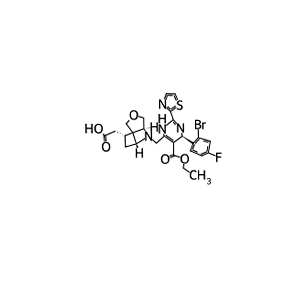 CCOC(=O)C1=C(CN2[C@@H]3COCC34[C@@H](CC(=O)O)C[C@@H]24)NC(c2nccs2)=N[C@H]1c1ccc(F)cc1Br